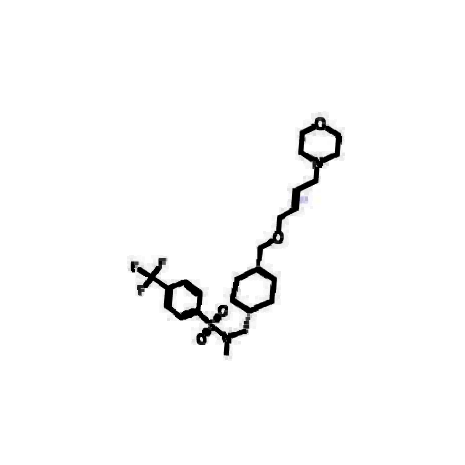 CN(C[C@H]1CC[C@H](COC/C=C/CN2CCOCC2)CC1)S(=O)(=O)c1ccc(C(F)(F)F)cc1